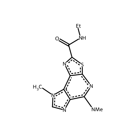 CCNC(=O)c1nc2c(nc(NC)c3ncn(C)c32)s1